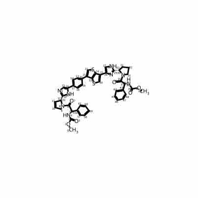 COC(=O)N[C@@H](C(=O)N1CC=C[C@H]1c1ncc(-c2ccc(-c3csc4c(-c5c[nH]c([C@@H]6CCCN6C(=O)[C@H](NC(=O)OC)c6ccccc6)n5)csc34)cc2)[nH]1)c1ccccc1